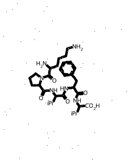 CC(C)C(NC(=O)C(Cc1ccccc1)NC(=O)C(NC(=O)C1CCCN1C(=O)C(N)CCCCN)C(C)C)C(=O)O